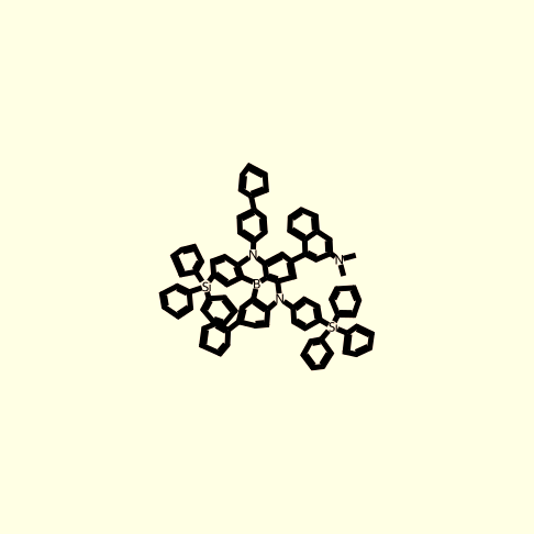 CN(C)c1cc(-c2cc3c4c(c2)N(c2ccc(-c5ccccc5)cc2)c2ccc([Si](c5ccccc5)(c5ccccc5)c5ccccc5)cc2B4c2cc(-c4ccccc4)ccc2N3c2ccc([Si](c3ccccc3)(c3ccccc3)c3ccccc3)cc2)c2ccccc2c1